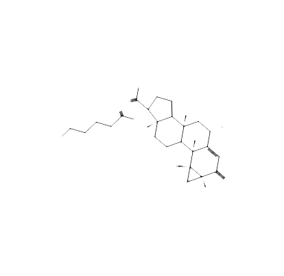 CCCCCC(=O)O[C@]1(C(C)=O)CC[C@H]2[C@@H]3C[C@H](C)C4=CC(=O)[C@@H]5C[C@@H]5[C@]4(C)[C@H]3CC[C@@]21C